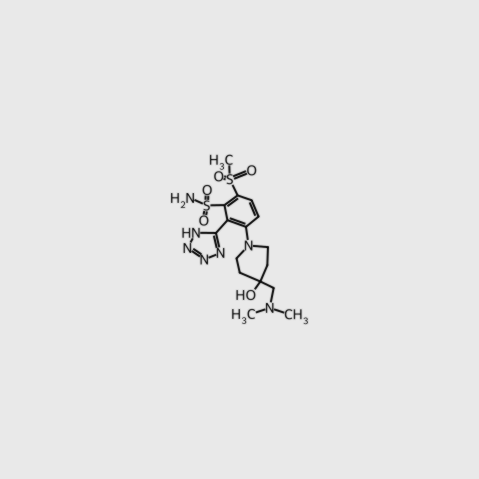 CN(C)CC1(O)CCN(c2ccc(S(C)(=O)=O)c(S(N)(=O)=O)c2-c2nnn[nH]2)CC1